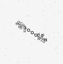 COC(=O)N[C@H](C(=O)N1CCC[C@H]1c1ncc(-c2ccc(-c3ccc(-c4ccc5[nH]c([C@@H]6C[Si](C)(C)CN6C(=O)[C@@H](NC(=O)OC)C(C)C)nc5c4)cc3)cc2)[nH]1)C(C)C